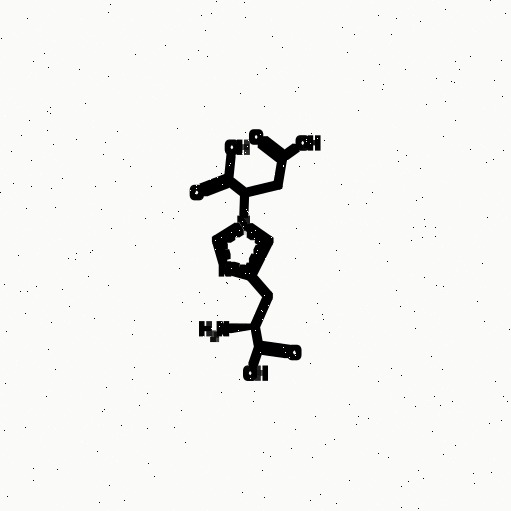 N[C@@H](Cc1cn(C(CC(=O)O)C(=O)O)cn1)C(=O)O